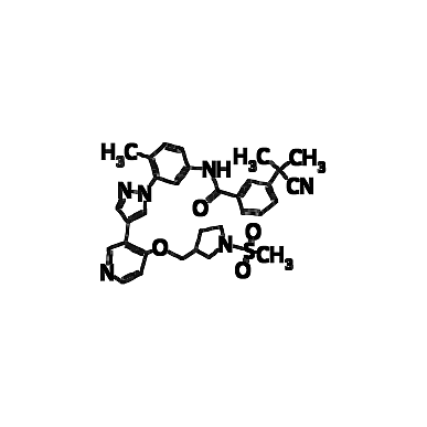 Cc1ccc(NC(=O)c2cccc(C(C)(C)C#N)c2)cc1-n1cc(-c2cnccc2OCC2CCN(S(C)(=O)=O)C2)cn1